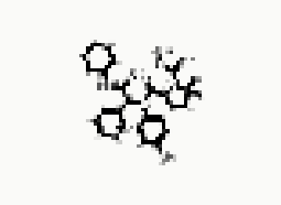 CC(C)(C)OC(=O)N1C(C(=O)N(c2ccc(C(C)(C)C)cc2)C(C(=O)NC2CCCCC2)c2cccnc2)CCC1(C)C